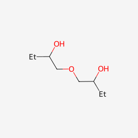 CCC(O)COCC(O)CC